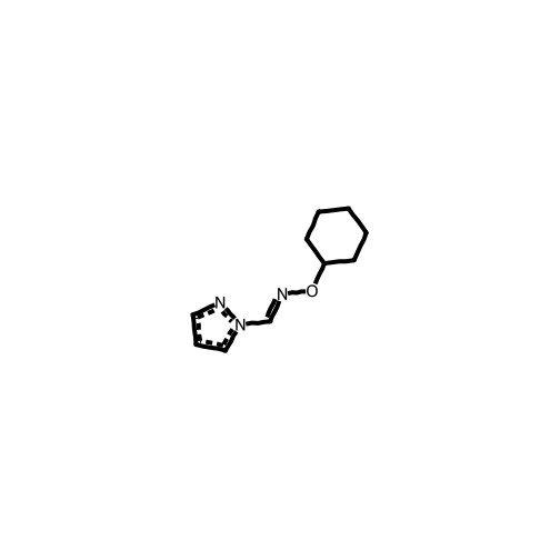 C(=NOC1CCCCC1)n1cccn1